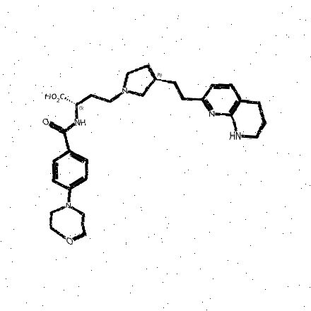 O=C(N[C@@H](CCN1CC[C@@H](CCc2ccc3c(n2)NCCC3)C1)C(=O)O)c1ccc(N2CCOCC2)cc1